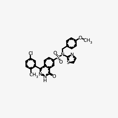 COc1ccc(CN(c2nccs2)S(=O)(=O)c2ccc3c(-c4cc(Cl)ccc4C)n[nH]c(=O)c3c2)cc1